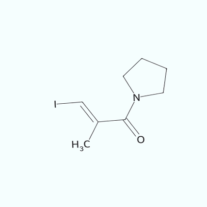 CC(=CI)C(=O)N1CCCC1